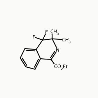 CCOC(=O)C1=NC(C)(C)C(F)(F)c2ccccc21